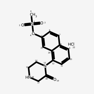 CS(=O)(=O)Oc1ccc2cccc(N3CCNCC3=O)c2c1.Cl